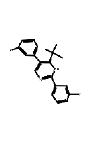 CC(C)(C)C1NC(c2cccc(F)c2)=NC=C1c1cccc(F)c1